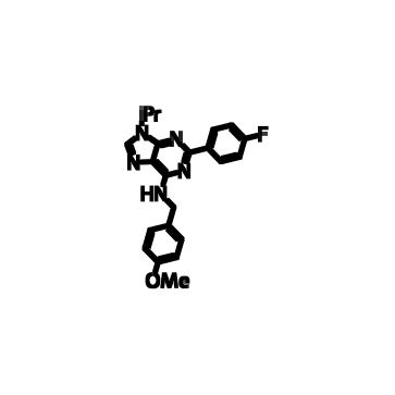 COc1ccc(CNc2nc(-c3ccc(F)cc3)nc3c2ncn3C(C)C)cc1